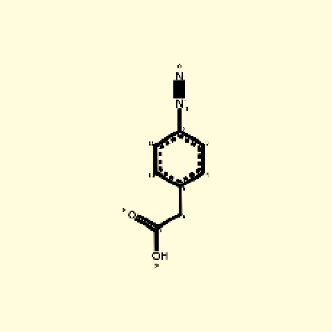 N#[N+]c1ccc(CC(=O)O)cc1